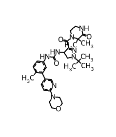 Cc1ccc(NC(=O)NC2CN(C(C)(C)C)N=C2C(=O)N2CCNC(=O)C2(C)C)cc1-c1ccc(N2CCOCC2)nc1